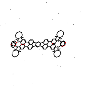 CC12CCCCCCC1(C)N(c1ccccc1)c1ccc(-c3ccc4c5cc6c(cc5c5ccc(-c7ccc8c(c7)C7(C)CCCCCCC7(C)N8c7ccccc7)c3c45)c3ccc(-c4ccc5c(c4)C4(C)CCCCCCC4(C)N5c4ccccc4)c4c(-c5ccc7c(c5)C5(C)CCCCCCC5(C)N7c5ccccc5)ccc6c43)cc12